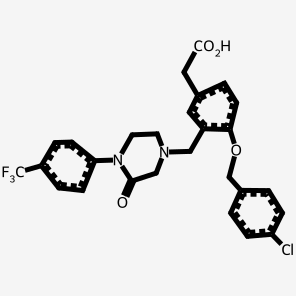 O=C(O)Cc1ccc(OCc2ccc(Cl)cc2)c(CN2CCN(c3ccc(C(F)(F)F)cc3)C(=O)C2)c1